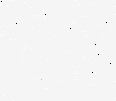 CC(C)(C)Oc1ccc(C(O)c2ccccc2)cc1